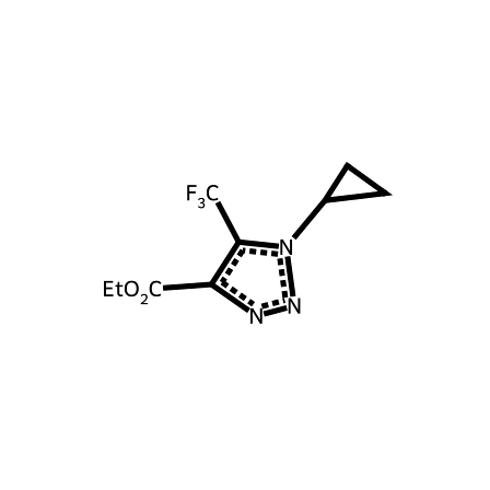 CCOC(=O)c1nnn(C2CC2)c1C(F)(F)F